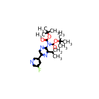 C=C(C)c1nc(-c2cncc(F)c2)cnc1N(C(=O)OC(C)(C)C)C(=O)OC(C)(C)C